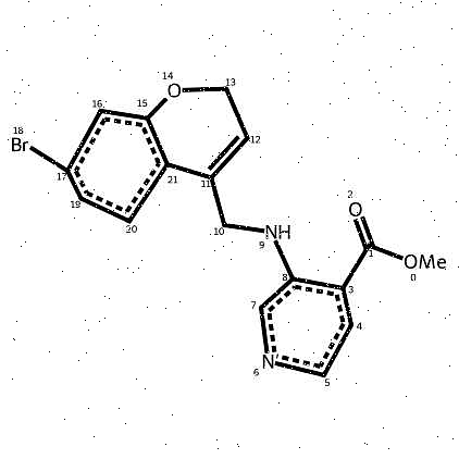 COC(=O)c1ccncc1NCC1=CCOc2cc(Br)ccc21